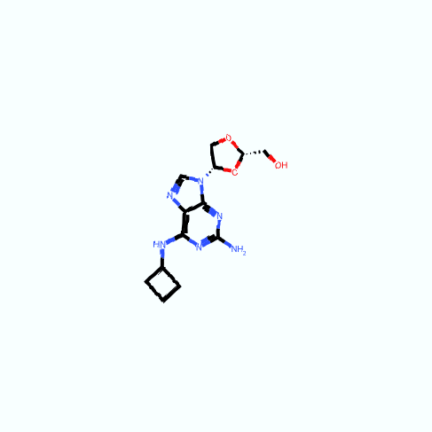 Nc1nc(NC2CCC2)c2ncn([C@@H]3CO[C@H](CO)O3)c2n1